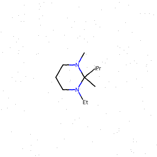 CCN1CCCN(C)C1(C)C(C)C